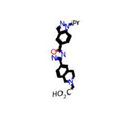 CC(C)n1ncc2cc(-c3nc(-c4ccc5c(c4)CCN(CC(=O)O)C5)no3)ccc21